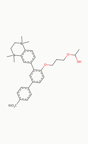 CCOC(=O)c1ccc(-c2ccc(OCCCOC(C)O)c(-c3ccc4c(c3)[Si](C)(C)CC[Si]4(C)C)c2)cc1